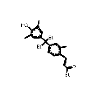 CCC(=O)C=Cc1ccc(C(CC)(CC)c2cc(C)c(O)c(C)c2)cc1C